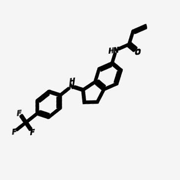 C=CC(=O)Nc1ccc2c(c1)C(Nc1ccc(C(F)(F)F)cc1)CC2